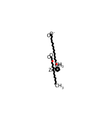 CCCCCCCCCCCCCCCCCC(=O)[O-].CCCCCCCCCCCCCCCCCC(=O)[O-].Oc1ccccc1.[Zn+2]